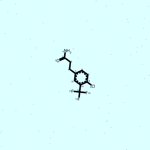 NC(=O)CCc1ccc(Cl)c(C(F)(F)F)c1